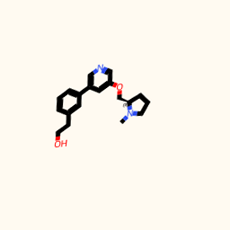 CN1CCC[C@@H]1COc1cncc(-c2cccc(CCO)c2)c1